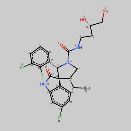 CC(C)(C)C[C@H]1CN(C(=O)NCC[C@H](O)CO)[C@@H](c2cccc(Cl)c2F)[C@@]12C(=O)Nc1cc(Cl)ccc12